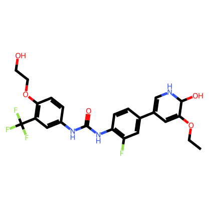 CCOC1=CC(c2ccc(NC(=O)Nc3ccc(OCCO)c(C(F)(F)F)c3)c(F)c2)=CNC1O